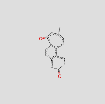 Cc1ccc2c3c(ccc2c(=O)c1)=CC(=O)CC=3